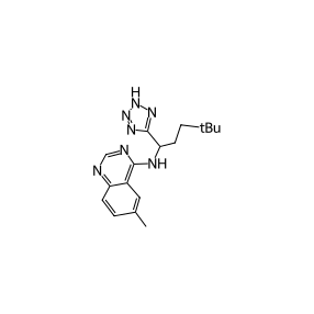 Cc1ccc2ncnc(NC(CCC(C)(C)C)c3nn[nH]n3)c2c1